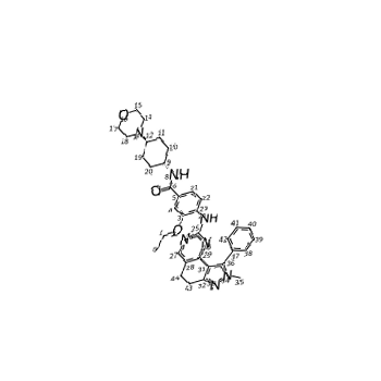 CCOc1cc(C(=O)N[C@H]2CC[C@H](N3CCOCC3)CC2)ccc1Nc1ncc2c(n1)-c1c(nn(C)c1-c1ccccc1)CC2